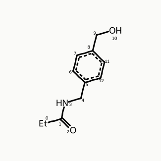 CCC(=O)NCc1ccc(CO)cc1